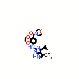 O=C(c1ccc(Nc2nc(C3CC3)c3c(C(F)(F)F)c[nH]c3n2)c2c1OCCO2)N1CCOCC1